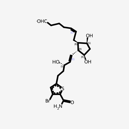 NC(=O)c1sc(CC[C@H](O)/C=C/[C@@H]2[C@@H](C/C=C\CCC[C]=O)[C@@H](O)C[C@H]2O)cc1Br